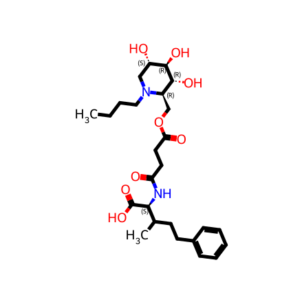 CCCCN1C[C@H](O)[C@@H](O)[C@H](O)[C@H]1COC(=O)CCC(=O)N[C@H](C(=O)O)C(C)CCc1ccccc1